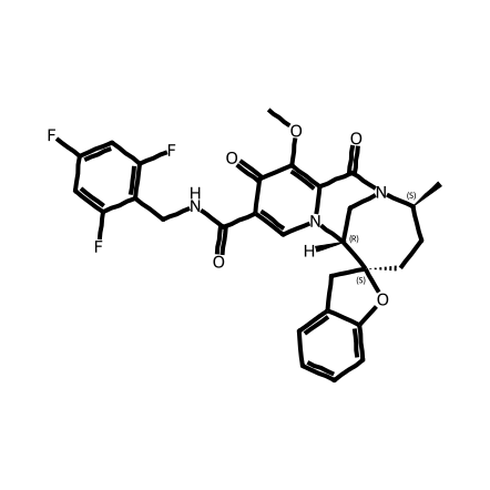 COc1c2n(cc(C(=O)NCc3c(F)cc(F)cc3F)c1=O)[C@@H]1CN(C2=O)[C@@H](C)CC[C@]12Cc1ccccc1O2